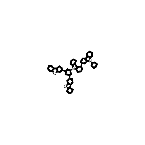 c1ccc(-n2c3ccccc3c3ccc(-c4cccc5c4c4ccccc4n5-c4cc(-c5ccc6c(c5)oc5ccccc56)cc(-c5ccc6c(c5)oc5ccccc56)c4)cc32)cc1